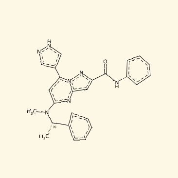 C[C@@H](c1ccccc1)N(C)c1cc(-c2cn[nH]c2)n2nc(C(=O)Nc3ccccc3)cc2n1